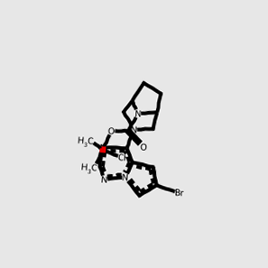 CC(C)(C)OC(=O)N1C2CCC1CN(c1ncnn3cc(Br)cc13)C2